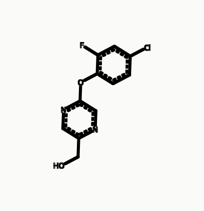 OCc1cnc(Oc2ccc(Cl)cc2F)cn1